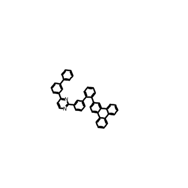 c1ccc(-c2cccc(-c3ccnc(-c4cccc(-c5ccccc5-c5ccc6c7ccccc7c7ccccc7c6c5)c4)n3)c2)cc1